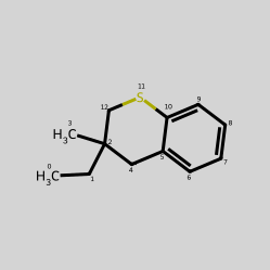 CCC1(C)[CH]c2ccccc2SC1